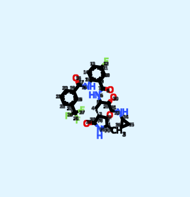 C[C@@H]1C[C@@H](CC(NC(=O)c2cc(F)ccc2NC(=O)c2cccc(C(F)(F)F)c2)C(=O)C(=O)NC2CC2)C(=O)N1